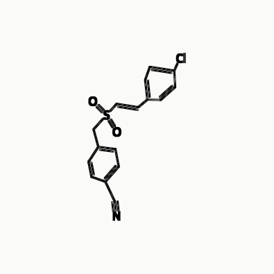 N#Cc1ccc(CS(=O)(=O)C=Cc2ccc(Cl)cc2)cc1